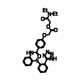 CCN(CC)C(=O)COC(=O)COc1ccc(C(=O)Nc2ccccc2Sc2ccccc2-c2nnn[nH]2)cc1